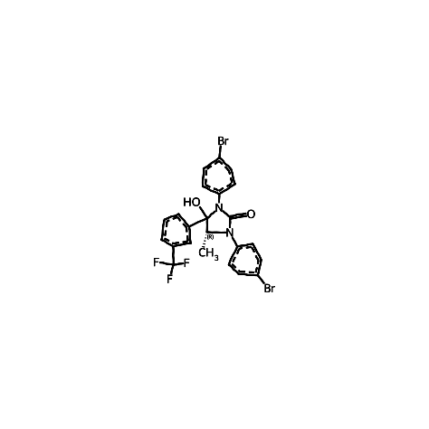 C[C@H]1N(c2ccc(Br)cc2)C(=O)N(c2ccc(Br)cc2)C1(O)c1cccc(C(F)(F)F)c1